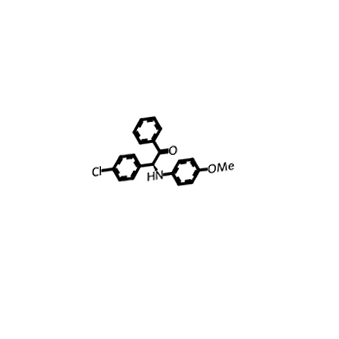 COc1ccc(N[C@H](C(=O)c2ccccc2)c2ccc(Cl)cc2)cc1